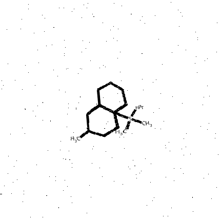 CCCS(C)(C)C12CCCCC1CC(C)CC2